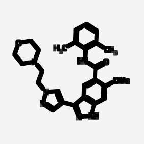 COc1cc2[nH]nc(-c3cnn(CCN4CCOCC4)c3)c2cc1C(=O)Nc1c(C)cccc1C